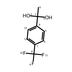 CC(O)(O)c1ccc(C(F)(F)F)cc1